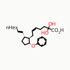 CCCCCC/C=C/[C@H]1CC[C@@H](Oc2ccccc2)[C@@H]1C/C=C\CCC(O)(O)C(=O)O